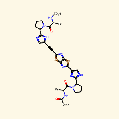 COC(=O)N[C@H](C(=O)N1CCCC1c1nc(-c2nc3sc(C#Cc4cnc([C@@H]5CCCN5C(=O)[C@@H](NC(=O)O)C(C)C)[nH]4)nc3s2)c[nH]1)C(C)C